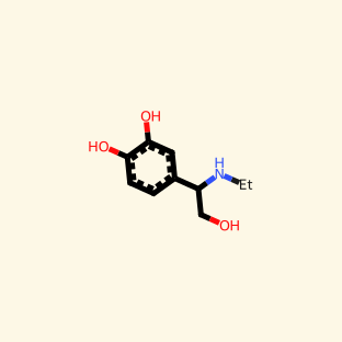 CCNC(CO)c1ccc(O)c(O)c1